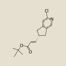 CC(C)(C)OC(=O)C=C[C@H]1Cc2cnc(Cl)cc2C1